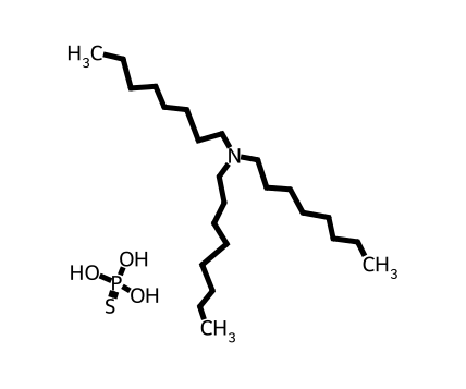 CCCCCCCCN(CCCCCCCC)CCCCCCCC.OP(O)(O)=S